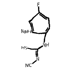 N#CN=C(S)Nc1ccc(F)cc1.[NaH]